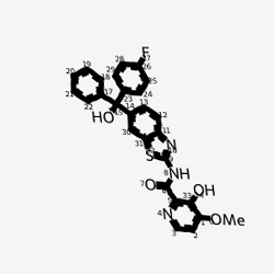 COc1ccnc(C(=O)Nc2nc3ccc(C(O)(c4ccccc4)c4ccc(F)cc4)cc3s2)c1O